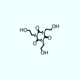 O=c1n(CCO)c(=O)n(CCO)c(=O)n1CCO